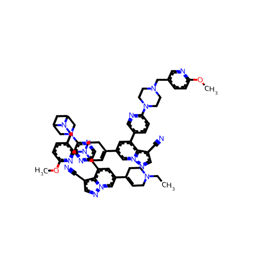 CCN1CC=C(c2cc(-c3cnc(N4CC5CC(C4)N5Cc4ccc(OC)nc4N4CC=C(c5cc(-c6ccc(N7CCN(Cc8ccc(OC)nc8)CC7)nc6)c6c(C#N)cnn6c5)CC4)cn3)c3c(C#N)cnn3c2)CC1